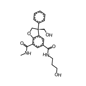 CNC(=O)c1cc(C(=O)NCCCO)cc2c1OC[C@]2(CO)c1ccccc1